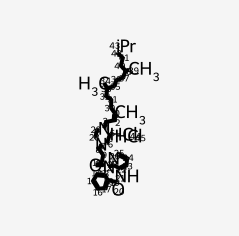 CC(=CCN1CCN(CCC(=O)N2c3ccccc3C(=O)Nc3cccnc32)CC1)CCCC(C)CCCC(C)CCCC(C)C.Cl.Cl